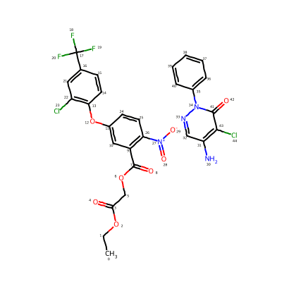 CCOC(=O)COC(=O)c1cc(Oc2ccc(C(F)(F)F)cc2Cl)ccc1[N+](=O)[O-].Nc1cnn(-c2ccccc2)c(=O)c1Cl